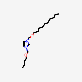 CCCCCCCCCCOCN1C=CN(COCCCC)C1